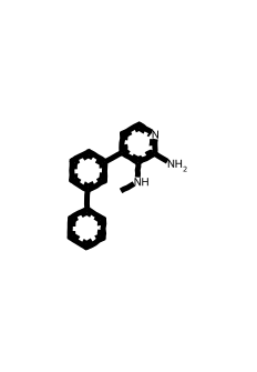 CNc1c(-c2cccc(-c3ccccc3)c2)ccnc1N